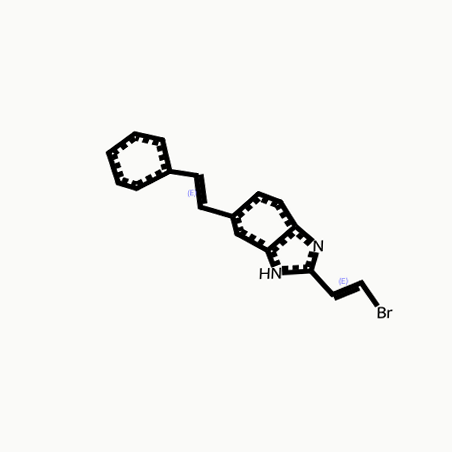 Br/C=C/c1nc2ccc(/C=C/c3ccccc3)cc2[nH]1